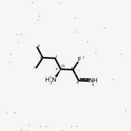 CC(C)C[C@H](N)C(F)C=N